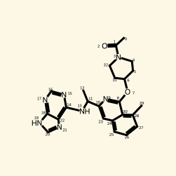 CC(=O)N1CCC(Oc2nc(C(C)Nc3ncnc4[nH]cnc34)cc3cccc(C)c23)CC1